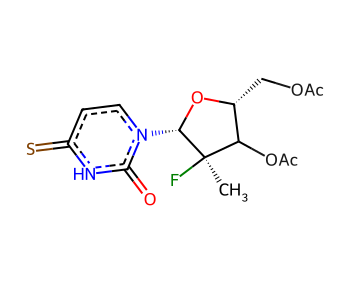 CC(=O)OC[C@H]1O[C@@H](n2ccc(=S)[nH]c2=O)[C@](C)(F)C1OC(C)=O